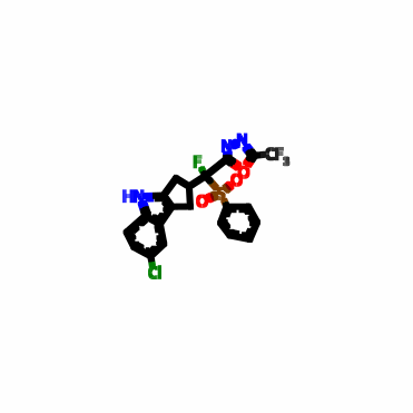 O=S(=O)(c1ccccc1)C(F)(c1nnc(C(F)(F)F)o1)C1Cc2[nH]c3ccc(Cl)cc3c2C1